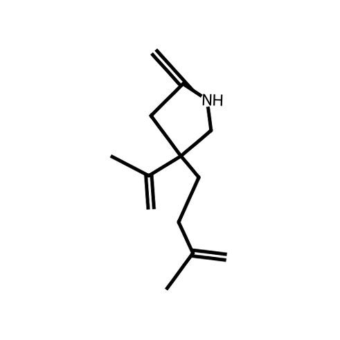 C=C(C)CCC1(C(=C)C)CNC(=C)C1